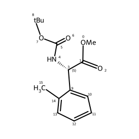 COC(=O)[C@@H](NC(=O)OC(C)(C)C)c1ccccc1C